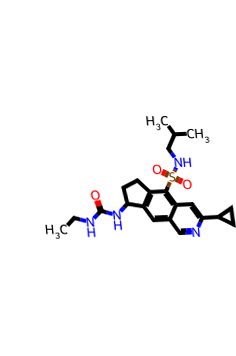 CCNC(=O)NC1CCc2c1cc1cnc(C3CC3)cc1c2S(=O)(=O)NCC(C)C